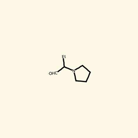 CCC([C]=O)N1CCCC1